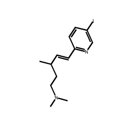 CC(/C=C/c1ccc(I)cn1)CCN(C)C